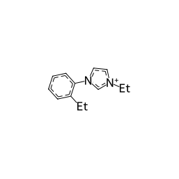 CCc1ccccc1-n1cc[n+](CC)c1